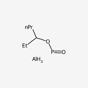 CCCC(CC)OP=O.[AlH3]